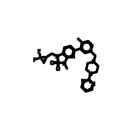 Cc1ccc(CN2CCN(c3ncccn3)CC2)cc1-c1ccc2c(n1)N(C)S(=O)(=O)N2CC1CC1(F)F